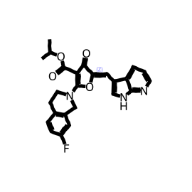 CC(C)OC(=O)C1=C(N2CCc3ccc(F)cc3C2)O/C(=C\c2c[nH]c3ncccc23)C1=O